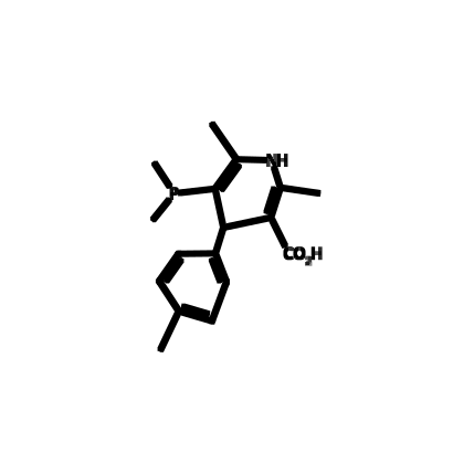 CC1=C(C(=O)O)C(c2ccc(C)cc2)C(P(C)C)=C(C)N1